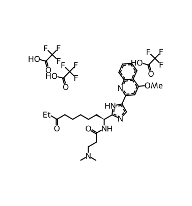 CCC(=O)CCCCC[C@H](NC(=O)CCN(C)C)c1ncc(-c2cc(OC)c3ccccc3n2)[nH]1.O=C(O)C(F)(F)F.O=C(O)C(F)(F)F.O=C(O)C(F)(F)F